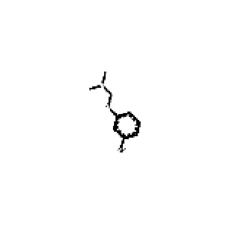 CN(C)COc1cccc(O)c1